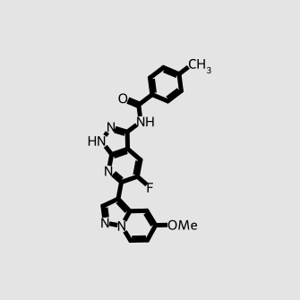 COc1ccn2ncc(-c3nc4[nH]nc(NC(=O)c5ccc(C)cc5)c4cc3F)c2c1